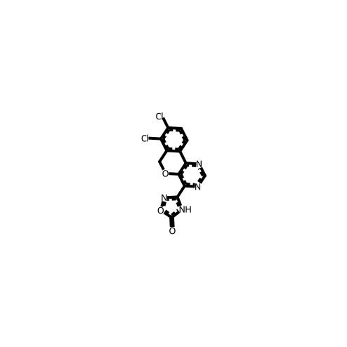 O=c1[nH]c(-c2ncnc3c2OCc2c-3ccc(Cl)c2Cl)no1